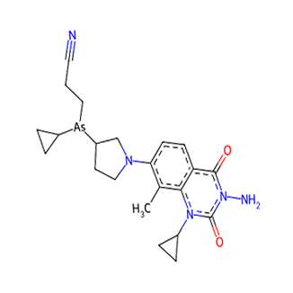 Cc1c(N2CCC([As](CCC#N)C3CC3)C2)ccc2c(=O)n(N)c(=O)n(C3CC3)c12